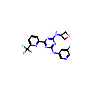 Fc1cncc(Nc2nc(NC3COC3)nc(-c3cccc(C(F)(F)F)n3)n2)c1